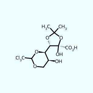 CC1(C)O[C@@H]([C@@H]2OC(C(Cl)(Cl)Cl)OC[C@@H]2O)[C@@](O)(C(=O)O)O1